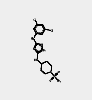 CS(=O)(=O)N1CCC(Nc2nc(Nc3cc(Cl)cc(Cl)c3)n[nH]2)CC1